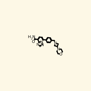 NC(=O)c1ccc(-c2ccc(CN3CC(N4CCOCC4)C3)cc2)n2n[c]nc12